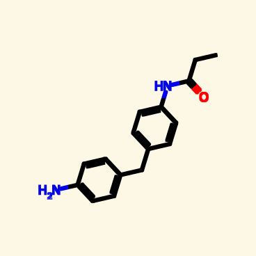 CCC(=O)Nc1ccc(Cc2ccc(N)cc2)cc1